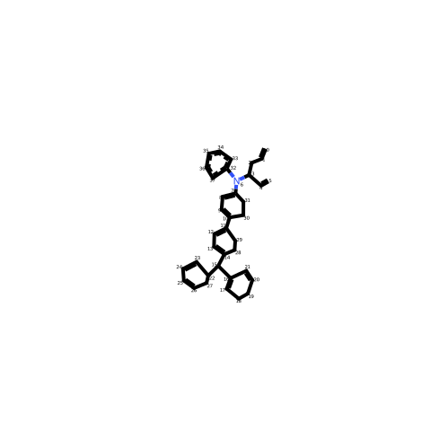 C=CCC(C=C)N(C1=CC=C(C2=CC=C(C(C3=CCCC=C3)C3C=CC=CC3)CC2)CC1)c1ccccc1